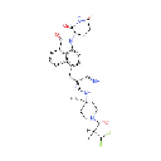 CC1(N/C=C(\C=N)Cc2ccc3c4c(cccc24)C(=O)N3C2CCC(=O)NC2=O)CCN(C(=O)C2(C(F)F)CC2)CC1